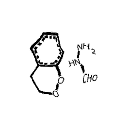 NNC=O.c1ccc2c(c1)CCOO2